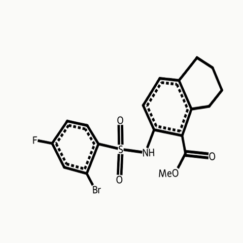 COC(=O)c1c(NS(=O)(=O)c2ccc(F)cc2Br)ccc2c1CCCC2